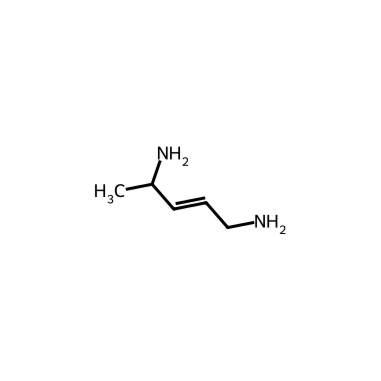 CC(N)C=CCN